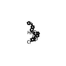 Cc1cc(S(=O)(=O)C2CCn3cccc3C2CC(=O)NC2CCc3cc(CN4CCCCC4)ccc3C2)c(C)cc1Cl